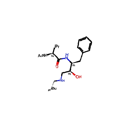 CC[C@@H](C)CNC[C@H](O)[C@H](Cc1ccccc1)NC(=O)[C@@H](NC(C)=O)C(C)C